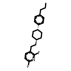 CCCc1ccc([C@H]2CC[C@H](CCc3ccc(F)nc3F)CC2)cc1